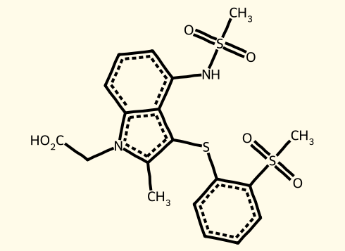 Cc1c(Sc2ccccc2S(C)(=O)=O)c2c(NS(C)(=O)=O)cccc2n1CC(=O)O